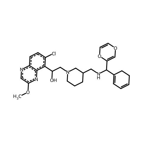 COc1cnc2ccc(Cl)c(C(O)CN3CCCC(CNC(C4=CC=CCC4)C4=COC=CO4)C3)c2n1